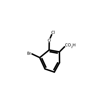 O=C(O)c1cccc(Br)c1OCl